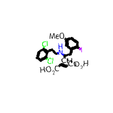 COc1ccc(I)c(CC(C)NCCc2c(Cl)cccc2Cl)c1.O=C(O)/C=C/C(=O)O